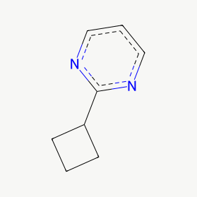 c1cnc(C2CCC2)nc1